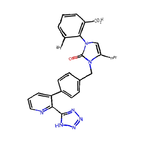 CCCc1cn(-c2c(C(=O)O)cccc2C(C)C)c(=O)n1Cc1ccc(-c2cccnc2-c2nnn[nH]2)cc1